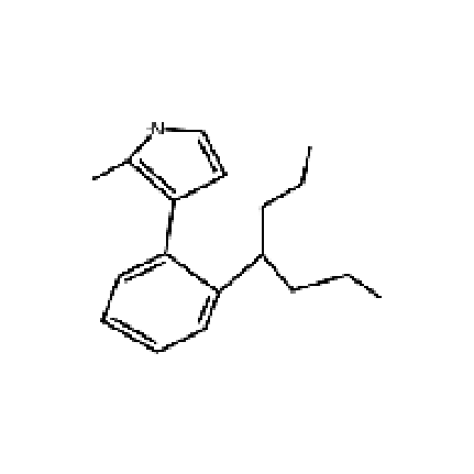 CCCC(CCC)c1ccccc1C1=C(C)[N]C=C1